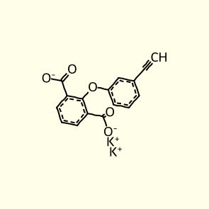 C#Cc1cccc(Oc2c(C(=O)[O-])cccc2C(=O)[O-])c1.[K+].[K+]